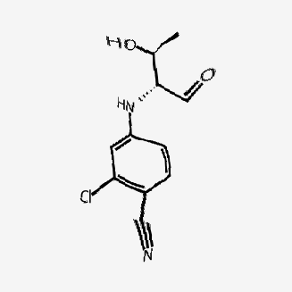 C[C@H](O)[C@H](C=O)Nc1ccc(C#N)c(Cl)c1